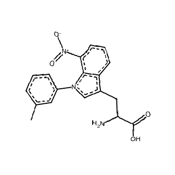 Cc1cccc(-n2cc(CC(N)C(=O)O)c3cccc([N+](=O)[O-])c32)c1